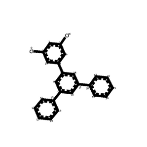 Clc1cc(Cl)cc(-c2cc(-c3ccccc3)cc(-c3ccccc3)c2)c1